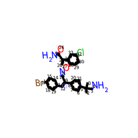 CC(C)(CN)c1ccc(/C(C#N)=C/c2ccc(Br)cc2)cc1.NC(=O)c1coc2ccc(Cl)cc12